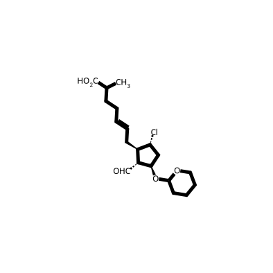 CC(CCC=CC[C@@H]1[C@@H](C=O)[C@H](OC2CCCCO2)C[C@H]1Cl)C(=O)O